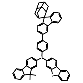 CC1(C)c2ccccc2-c2ccc(N(c3ccc(-c4ccc5c(c4)-c4ccccc4C54C5CC6CC(C5)CC4C6)cc3)c3ccc4c(c3)sc3ccccc34)cc21